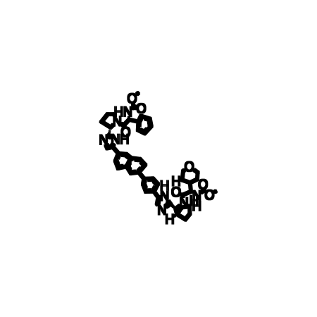 COC(=O)N[C@@H](C1CCOCC1)C(O)N1[C@@H]2CC[C@@H](C2)[C@H]1c1ncc(-c2ccc(-c3ccc4cc(-c5cnc([C@@H]6CCCN6C(=O)[C@H](NC(=O)OC)c6ccccc6)[nH]5)ccc4c3)cc2)[nH]1